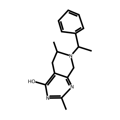 Cc1nc(O)c2c(n1)CN(C(C)c1ccccc1)C(C)C2